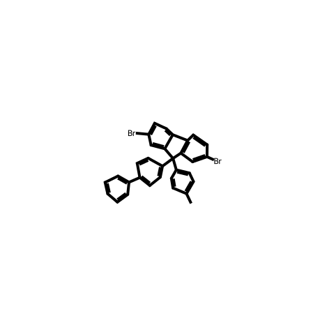 Cc1ccc(C2(c3ccc(-c4ccccc4)cc3)c3cc(Br)ccc3-c3ccc(Br)cc32)cc1